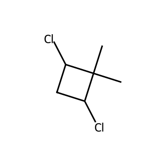 CC1(C)C(Cl)CC1Cl